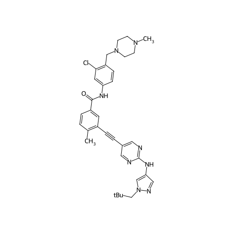 Cc1ccc(C(=O)Nc2ccc(CN3CCN(C)CC3)c(Cl)c2)cc1C#Cc1cnc(Nc2cnn(CC(C)(C)C)c2)nc1